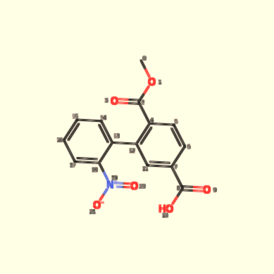 COC(=O)c1ccc(C(=O)O)cc1-c1ccccc1[N+](=O)[O-]